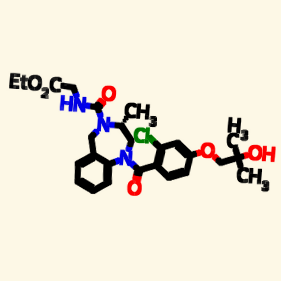 CCOC(=O)CNC(=O)N1Cc2ccccc2N(C(=O)c2ccc(OCC(C)(C)O)cc2Cl)C[C@H]1C